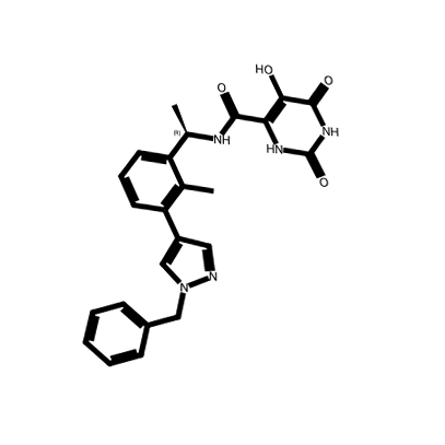 Cc1c(-c2cnn(Cc3ccccc3)c2)cccc1[C@@H](C)NC(=O)c1[nH]c(=O)[nH]c(=O)c1O